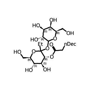 CCCCCCCCCCCC(=O)O[C@@H]1[C@@H](O)[C@H](O)[C@@H](CO)OC1(CC)OC1O[C@H](CO)[C@H](O)[C@H](O)[C@H]1O